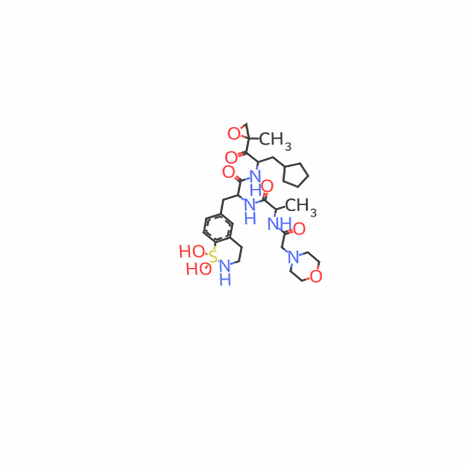 CC(NC(=O)CN1CCOCC1)C(=O)NC(Cc1ccc2c(c1)CCNS2(O)O)C(=O)NC(CC1CCCC1)C(=O)C1(C)CO1